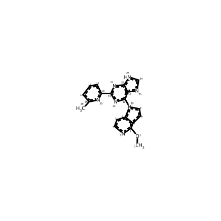 COc1nccc2c1ccn2-c1nc(-c2cccc(C)n2)nc2[nH]cnc12